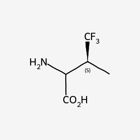 C[C@@H](C(N)C(=O)O)C(F)(F)F